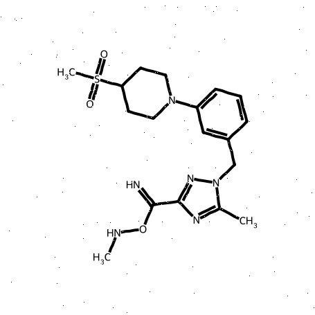 CNOC(=N)c1nc(C)n(Cc2cccc(N3CCC(S(C)(=O)=O)CC3)c2)n1